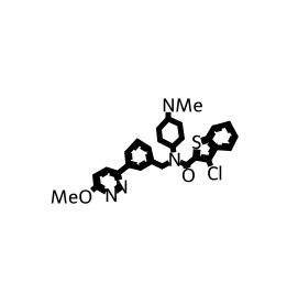 CNC1CCC(N(Cc2cccc(-c3ccc(OC)nn3)c2)C(=O)c2sc3ccccc3c2Cl)CC1